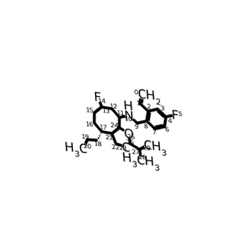 C=Cc1cc(F)ccc1CNC1CC(F)CC[C@@H](CCC)C(CC)C1OCC(C)C